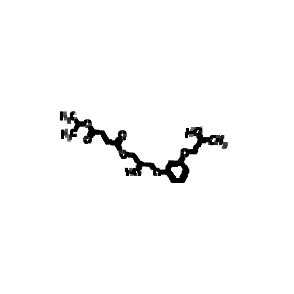 CC(O)COc1cccc(OCC(O)COC(=O)CCC(=O)OC(C)C)c1